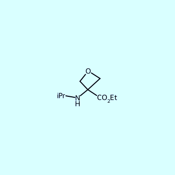 CCOC(=O)C1(NC(C)C)COC1